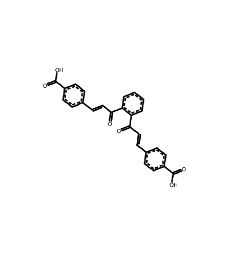 O=C(O)c1ccc(C=CC(=O)c2ccccc2C(=O)C=Cc2ccc(C(=O)O)cc2)cc1